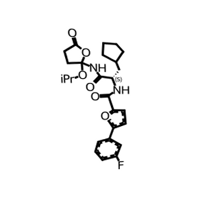 CC(C)OC1(NC(=O)[C@H](CC2CCCC2)NC(=O)c2ccc(-c3cccc(F)c3)o2)CCC(=O)O1